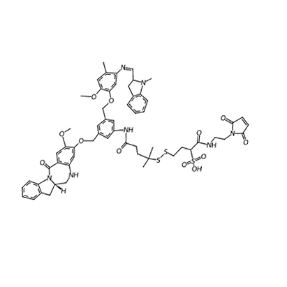 COc1cc(C)c(/N=C\C2Cc3ccccc3N2C)cc1OCc1cc(COc2cc3c(cc2OC)C(=O)N2c4ccccc4C[C@H]2CN3)cc(NC(=O)CCC(C)(C)SSCCC(C(=O)NCCN2C(=O)C=CC2=O)S(=O)(=O)O)c1